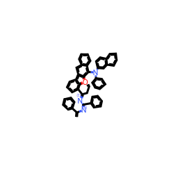 C=CC/C(=N\C(=N/C(=C)c1ccccc1)c1ccccc1)c1cccc2c1oc1c(N(c3ccccc3)c3ccc4ccccc4c3)c3ccccc3cc12